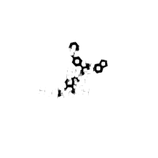 CC(=O)OCC1=C(C(=O)O)N2C(=O)C(NC(=O)C(C(=O)Oc3ccc4c(c3)CCC4)c3ccc(C[n+]4ccccc4)cc3)C2SC1